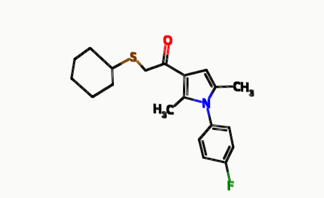 Cc1cc(C(=O)CSC2CCCCC2)c(C)n1-c1ccc(F)cc1